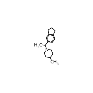 CC1CCN(C(C)c2ccc3c(c2)CCC3)CC1